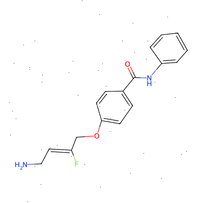 NC/C=C(\F)COc1ccc(C(=O)Nc2ccccc2)cc1